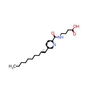 CCCCCCCC/C=C/c1ccc(C(=O)NCCCC(=O)O)nc1